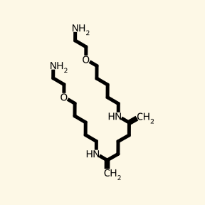 C=C(CCCC(=C)NCCCCCOCCN)NCCCCCOCCN